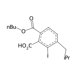 CCCCOC(=O)c1ccc(CC(C)C)c(I)c1C(=O)O